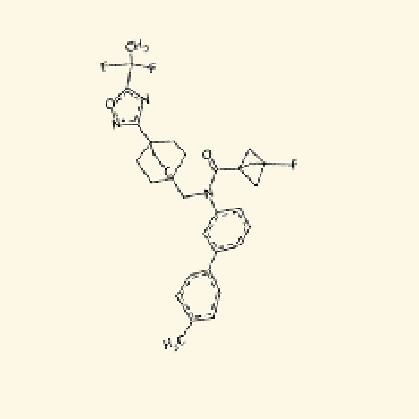 Cc1ccc(-c2cccc(N(CC34CCC(c5noc(C(C)(F)F)n5)(CC3)CC4)C(=O)C34CC(F)(C3)C4)c2)cc1